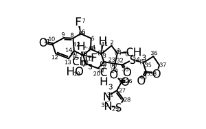 C[C@@H]1C[C@H]2[C@@H]3C[C@H](F)C4=CC(=O)C=C[C@]4(C)[C@@]3(F)[C@@H](O)C[C@]2(C)[C@@]1(OC(=O)c1csnn1)C(=O)S[C@H]1CCOC1=O